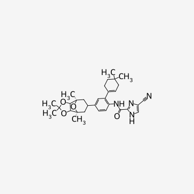 CC1(C)CC=C(c2cc(C3C[C@@]4(C)O[C@@](C)(C3)C3OC(C)(C)OC34)ccc2NC(=O)c2nc(C#N)c[nH]2)CC1